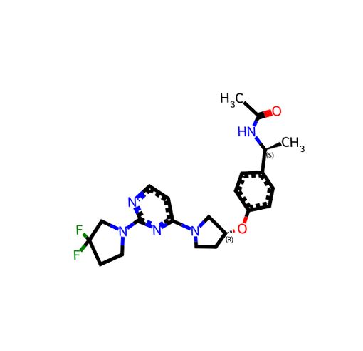 CC(=O)N[C@@H](C)c1ccc(O[C@@H]2CCN(c3ccnc(N4CCC(F)(F)C4)n3)C2)cc1